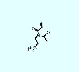 C=CC(=O)N(CCN)C(C)=O